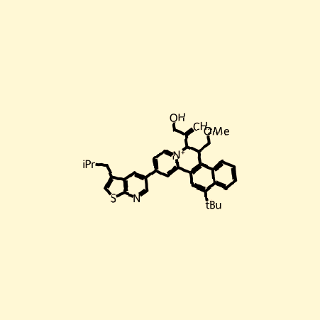 C=C(CO)C1C(COC)c2c(cc(C(C)(C)C)c3ccccc23)-c2cc(-c3cnc4scc(CC(C)C)c4c3)cc[n+]21